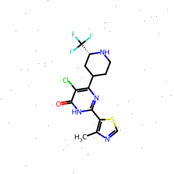 Cc1ncsc1-c1nc(C2CCN[C@@H](C(F)(F)F)C2)c(Cl)c(=O)[nH]1